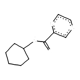 O=C(NC1CCCCC1)c1cnccn1